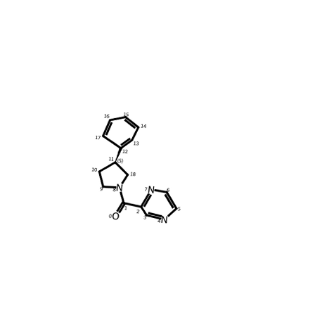 O=C(c1cnccn1)N1CC[C@@H](c2ccccc2)C1